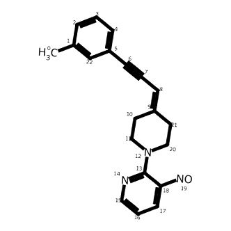 Cc1cccc(C#CC=C2CCN(c3ncccc3N=O)CC2)c1